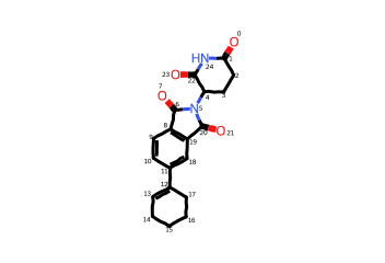 O=C1CCC(N2C(=O)c3ccc(C4=CCCCC4)cc3C2=O)C(=O)N1